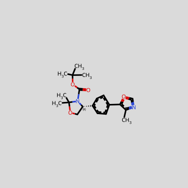 Cc1ncoc1-c1ccc([C@@H]2COC(C)(C)N2C(=O)OC(C)(C)C)cc1